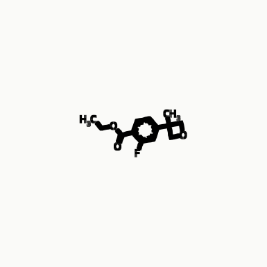 CCOC(=O)c1ccc(C2(C)COC2)cc1F